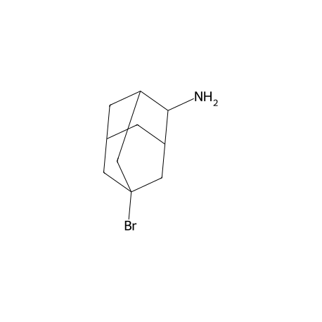 NC1C2CC3CC1CC(Br)(C3)C2